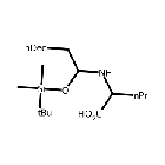 CCCCCCCCCCCC(NC(CCC)C(=O)O)O[Si](C)(C)C(C)(C)C